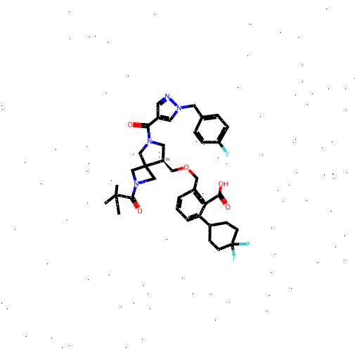 CC(C)(C)C(=O)N1CC2(CN(C(=O)c3cnn(Cc4ccc(F)cc4)c3)C[C@H]2COCc2cccc(C3CCC(F)(F)CC3)c2C(=O)O)C1